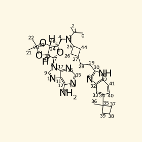 CC(C)N(C[C@H]1O[C@@H](n2cnc3c(N)ncnc32)[C@H]2OC(C)(C)O[C@@H]21)C1CC(CCc2nc3cc(C4(C)CCC4)ccc3[nH]2)C1